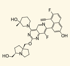 C#Cc1c(F)ccc2cc(O)cc(-c3ncc4c(N5CCC[C@@](C)(O)C5)nc(OC[C@@]56CCCN5[C@@H](CO)CC6)nc4c3F)c12